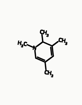 CC1=CN(C)C(C)C(C)=C1